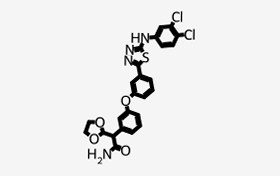 NC(=O)C(c1cccc(Oc2cccc(-c3nnc(Nc4ccc(Cl)c(Cl)c4)s3)c2)c1)C1OCCO1